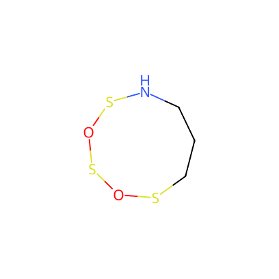 C1CNSOSOSC1